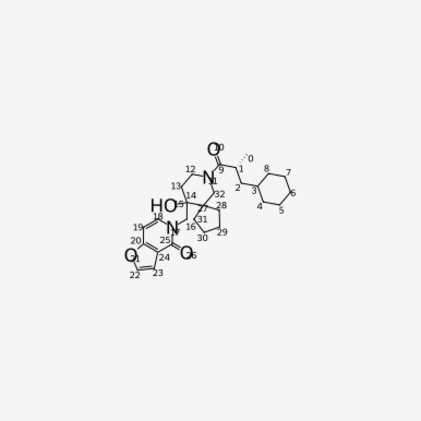 C[C@H](CC1CCCCC1)C(=O)N1CCC(O)(Cn2ccc3occc3c2=O)C2(CCCC2)C1